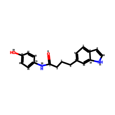 O=C(CCCc1ccc2cc[nH]c2c1)Nc1ccc(O)cc1